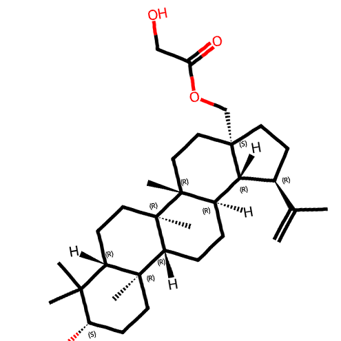 C=C(C)[C@@H]1CC[C@]2(COC(=O)CO)CC[C@]3(C)[C@H](CC[C@@H]4[C@@]5(C)CC[C@H](O)C(C)(C)[C@@H]5CC[C@]43C)[C@@H]12